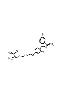 CN(CCCOCCOc1ccc(-c2nn(C)c3cc(Br)ccc23)c(F)c1)C(=O)O